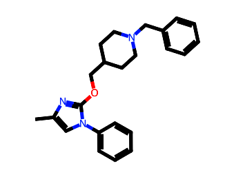 Cc1cn(-c2ccccc2)c(OCC2CCN(Cc3ccccc3)CC2)n1